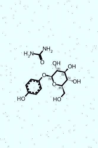 NC(N)=O.OC[C@H]1O[C@@H](Oc2ccc(O)cc2)[C@H](O)[C@@H](O)[C@@H]1O